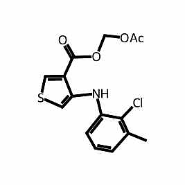 CC(=O)OCOC(=O)c1cscc1Nc1cccc(C)c1Cl